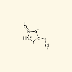 O=C1NCC(CCl)S1